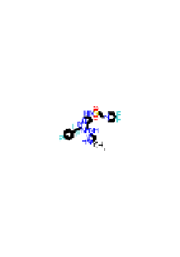 Cc1cc(Nc2nc(C(F)(F)c3ccc(F)cc3)nn3cc(NS(=O)(=O)CCN4CCC(F)(F)CC4)cc23)n[nH]1